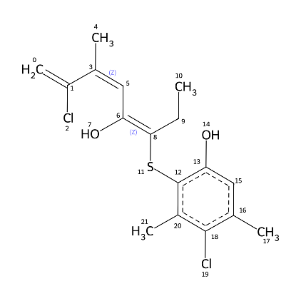 C=C(Cl)/C(C)=C\C(O)=C(/CC)Sc1c(O)cc(C)c(Cl)c1C